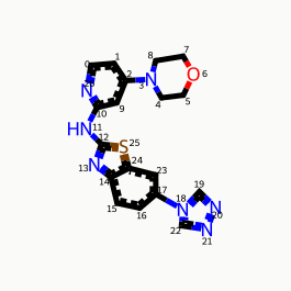 c1cc(N2CCOCC2)cc(Nc2nc3ccc(-n4cnnc4)cc3s2)n1